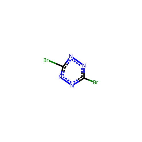 Brc1nnc(Br)nn1